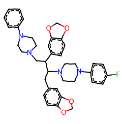 Fc1ccc(N2CCN(C(Cc3ccc4c(c3)OCO4)C(CN3CCN(c4ccccc4)CC3)c3ccc4c(c3)OCO4)CC2)cc1